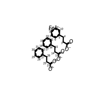 O=C([O-])CCc1ccccc1.O=C([O-])CCc1ccccc1.O=C([O-])CCc1ccccc1.[Fe+3]